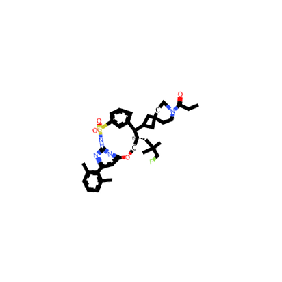 CCC(=O)N1CCC2(CC1)CC(C1c3cccc(c3)S(=O)(=O)Nc3nc(cc(-c4c(C)cccc4C)n3)OC[C@H]1CC(C)(C)CF)C2